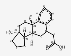 C[C@@]12CCC[C@H]1[C@@H]1CC(CC(=O)O)c3ccccc3[C@H]1CC2